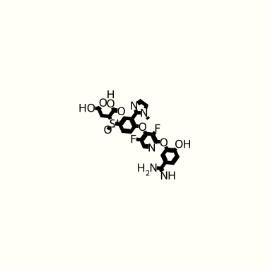 CN1CC=NC1c1cc([S+]([O-])C(CC(=O)O)C(=O)O)ccc1Oc1c(F)cnc(Oc2cc(C(=N)N)ccc2O)c1F